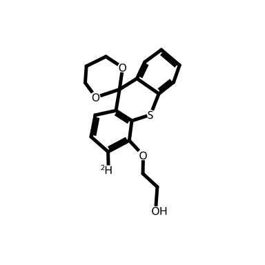 [2H]c1ccc2c(c1OCCO)Sc1ccccc1C21OCCCO1